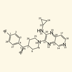 Fc1ccc([C@H](F)C2CCN(c3nc4cnccc4nc3NC3CC3)CC2)cc1